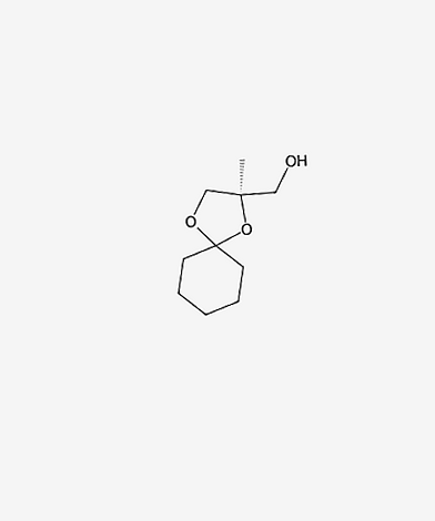 C[C@@]1(CO)COC2(CCCCC2)O1